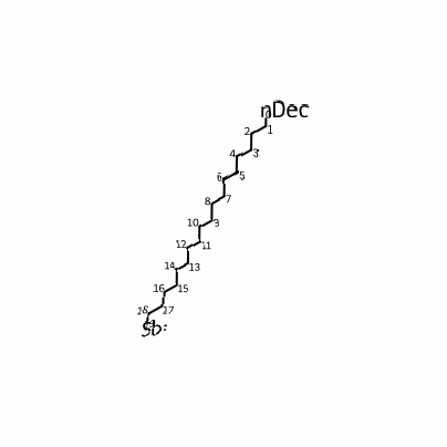 CCCCCCCCCCCCCCCCCCCCCCCCCCC[CH2][Sb]